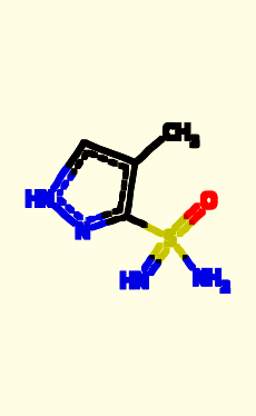 Cc1c[nH]nc1S(=N)(N)=O